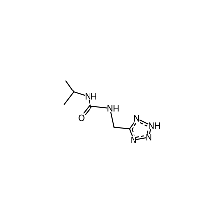 CC(C)NC(=O)NCc1nn[nH]n1